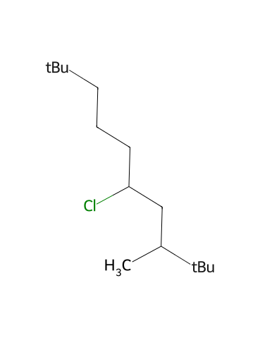 CC(CC(Cl)CCCC(C)(C)C)C(C)(C)C